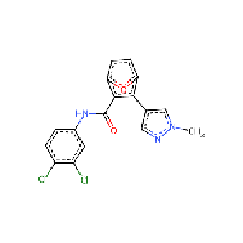 Cn1cc(-c2c(C(=O)Nc3ccc(Cl)c(Cl)c3)c3ccc2o3)cn1